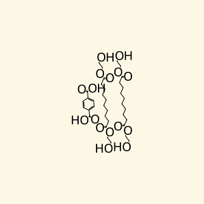 O=C(CCCCCCCCC(=O)OCCO)OCCO.O=C(CCCCCCCCC(=O)OCCO)OCCO.O=C(O)c1ccc(C(=O)O)cc1